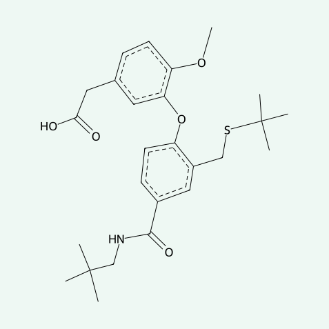 COc1ccc(CC(=O)O)cc1Oc1ccc(C(=O)NCC(C)(C)C)cc1CSC(C)(C)C